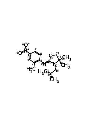 Cc1cc([N+](=O)[O-])ccc1N=C1OCC(C)(C)N1CC(C)C